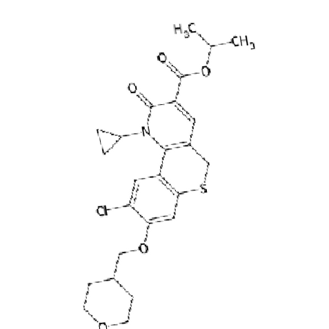 CC(C)OC(=O)c1cc2c(n(C3CC3)c1=O)-c1cc(Cl)c(OCC3CCOCC3)cc1SC2